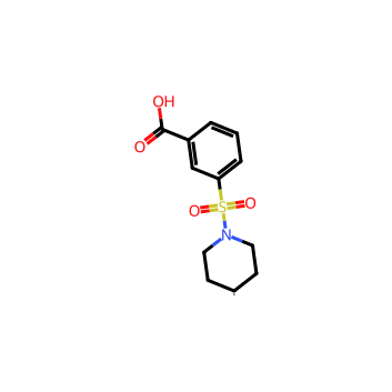 O=C(O)c1cccc(S(=O)(=O)N2CC[CH]CC2)c1